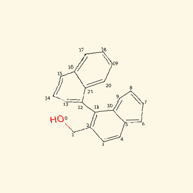 OCc1ccc2ccccc2c1-c1cccc2ccccc12